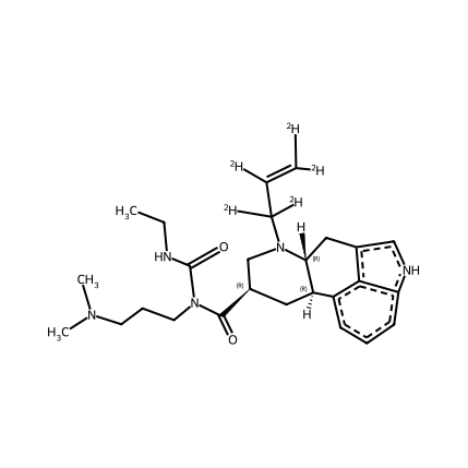 [2H]C([2H])=C([2H])C([2H])([2H])N1C[C@H](C(=O)N(CCCN(C)C)C(=O)NCC)C[C@@H]2c3cccc4[nH]cc(c34)C[C@H]21